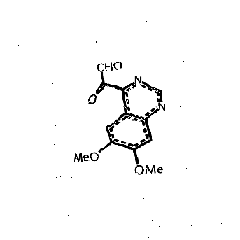 COc1cc2ncnc(C(=O)C=O)c2cc1OC